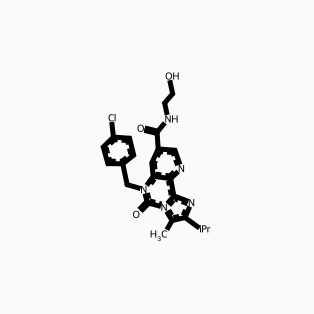 Cc1c(C(C)C)nc2c3ncc(C(=O)NCCO)cc3n(Cc3ccc(Cl)cc3)c(=O)n12